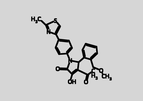 COCc1ccccc1C1C(C(C)=O)=C(O)C(=O)N1c1ccc(-c2csc(C)n2)cc1